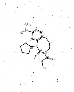 C[S+]([O-])c1ncc2c(n1)N(C1CCCC1)C(=O)N(C(=O)OC(C)(C)C)CCC2